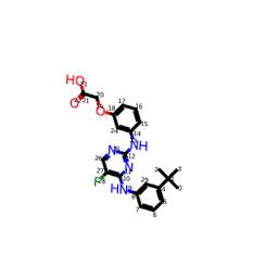 CC(C)(C)c1cccc(Nc2nc(Nc3cccc(OCC(=O)O)c3)ncc2F)c1